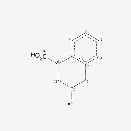 C[C@H]1Cc2ccccc2C(C(=O)O)C1